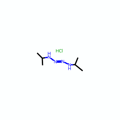 CC(C)NN=NNC(C)C.Cl